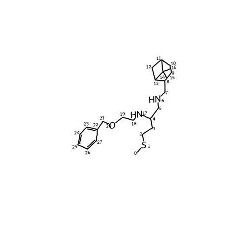 CSCCC(CNCC1CCC2CC1C2(C)C)NCCOCc1ccccc1